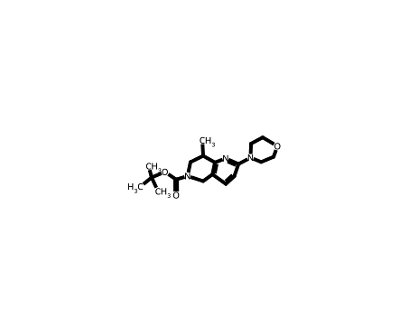 CC1CN(C(=O)OC(C)(C)C)Cc2ccc(N3CCOCC3)nc21